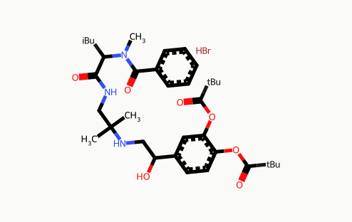 Br.CCC(C)C(C(=O)NCC(C)(C)NCC(O)c1ccc(OC(=O)C(C)(C)C)c(OC(=O)C(C)(C)C)c1)N(C)C(=O)c1ccccc1